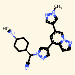 C#[N+][C@H]1CC[C@@H](C(C#N)n2cc(-c3cc(-c4cnn(C)c4)cn4nccc34)cn2)CC1